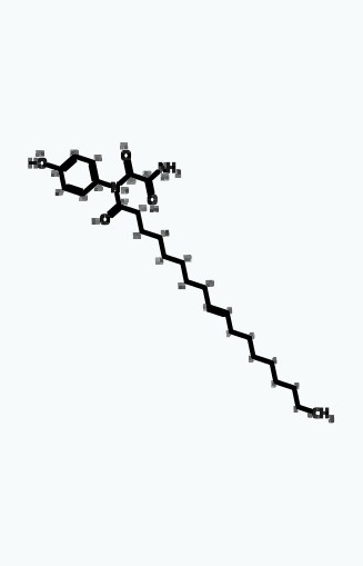 CCCCCCCCC=CCCCCCCCC(=O)N(C(=O)C(N)=O)c1ccc(O)cc1